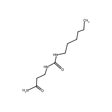 CCCCCCNC(=O)NCCC(N)=O